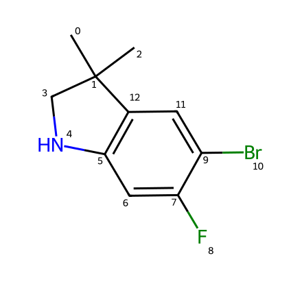 CC1(C)CNc2cc(F)c(Br)cc21